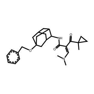 CN(C)/C=C(\C(=O)NC1C2CC3CC1CC(OCc1ccccc1)(C3)C2)C(=O)C1(C)CC1